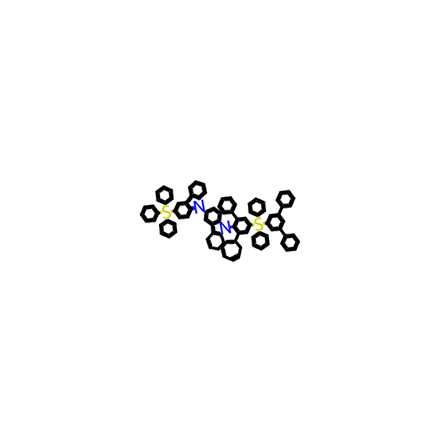 C1#CCC(c2cc(S(c3ccccc3)(c3ccccc3)c3cc(-c4ccccc4)cc(-c4ccccc4)c3)cc(-c3ccccc3)c2-n2c3c(c4cc(-n5c6ccccc6c6cc(S(c7ccccc7)(c7ccccc7)c7ccccc7)ccc65)ccc42)C=CCC3)=CC=C1